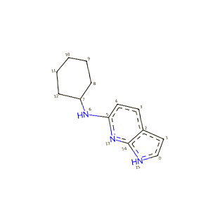 c1cc2ccc(NC3CCCCC3)nc2[nH]1